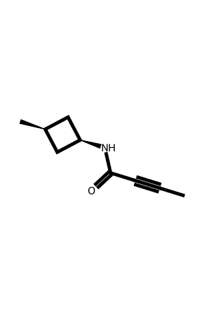 CC#CC(=O)N[C@H]1C[C@@H](C)C1